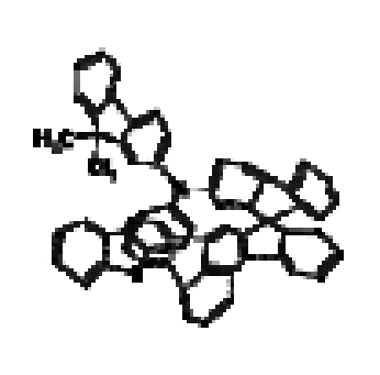 CC1(C)c2ccccc2-c2ccc(N(c3ccc4c(c3)C3(c5ccccc5-4)c4ccccc4-c4c3cc3c5c(cccc45)-c4ccccc4-3)c3ccc4sc5ccccc5c4c3)cc21